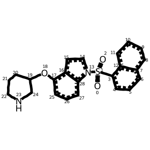 O=S(=O)(c1cccc2ccccc12)n1ccc2c(OC3CCCNC3)cccc21